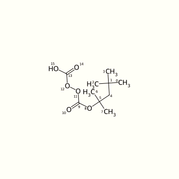 CC(C)(C)CC(C)(C)OC(=O)OOC(=O)O